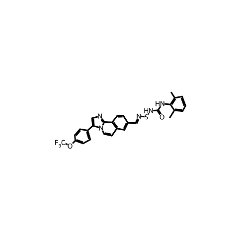 Cc1cccc(C)c1NC(=O)NS/N=C/c1ccc2c(ccn3c(-c4ccc(OC(F)(F)F)cc4)cnc23)c1